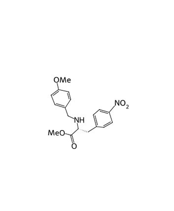 COC(=O)[C@@H](Cc1ccc([N+](=O)[O-])cc1)NCc1ccc(OC)cc1